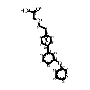 O=C(O)COCCC12CCC(c3cccc(Oc4cccnc4)c3)(CC1)CO2